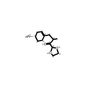 CCC[C@@H]1CC=C(CC(C)C(=O)C2OCCO2)CC1